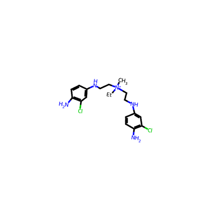 CC[N+](C)(CCNc1ccc(N)c(Cl)c1)CCNc1ccc(N)c(Cl)c1